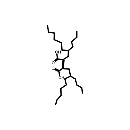 CCCCCCC(CCCC)C/C(C(=O)O)=C(\CC(CCCC)CCCCCC)C(=O)O